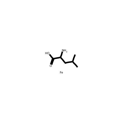 CC(C)CC(N)C(=O)O.[Fe]